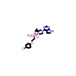 CN(CCOc1ccc(Cl)cc1)S(=O)(=O)N1CCN(c2ncnc3[nH]ccc23)CC12CC2